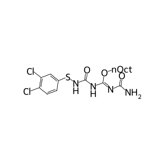 CCCCCCCCOC(=NC(N)=O)NC(=O)NSc1ccc(Cl)c(Cl)c1